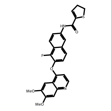 COc1cc2nccc(Oc3ccc4cc(NC(=O)C5=CCCS5)ccc4c3F)c2cc1OC